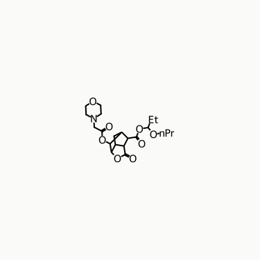 CCCOC(CC)OC(=O)C1C2CC3C(OC(=O)C31)C2OC(=O)CN1CCOCC1